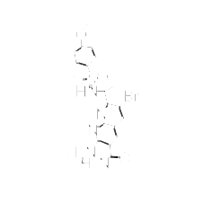 COc1ccc(S(=O)(=O)NC(C)c2nc3nc(N)c(C(N)=O)cc3cc2Br)cc1